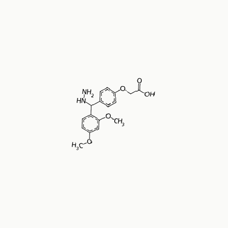 COc1ccc(C(NN)c2ccc(OCC(=O)O)cc2)c(OC)c1